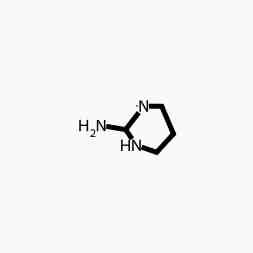 NC1[N]CCCN1